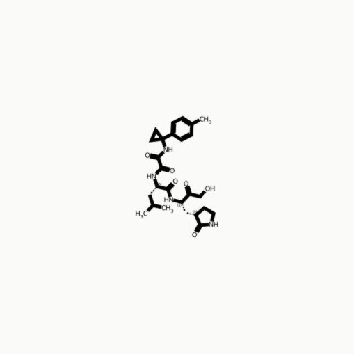 Cc1ccc(C2(NC(=O)C(=O)N[C@@H](CC(C)C)C(=O)N[C@@H](C[C@@H]3CCNC3=O)C(=O)CO)CC2)cc1